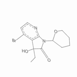 CCC1(O)C(=O)N(C2CCCCO2)c2nccc(Br)c21